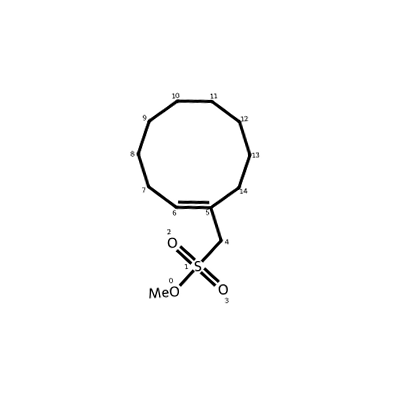 COS(=O)(=O)CC1=CCCCCCCCC1